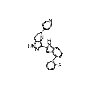 Fc1ccccc1-c1cccc2[nH]c(-c3n[nH]c4ccc(-c5ccncc5)nc34)cc12